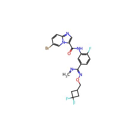 C=N/C(=N\OCC1CC(F)(F)C1)c1ccc(F)c(NC(=O)c2cnc3ccc(Br)cn23)c1